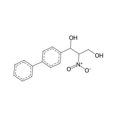 O=[N+]([O-])C(CO)C(O)c1ccc(-c2ccccc2)cc1